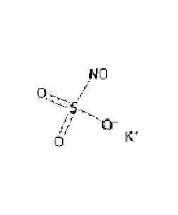 O=NS(=O)(=O)[O-].[K+]